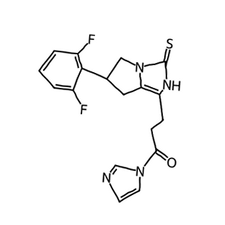 O=C(CCc1[nH]c(=S)n2c1CC(c1c(F)cccc1F)C2)n1ccnc1